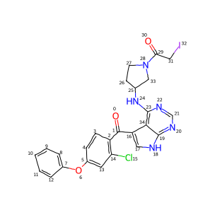 O=C(c1ccc(Oc2ccccc2)cc1Cl)c1c[nH]c2ncnc(NC3CCN(C(=O)CI)C3)c12